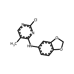 Cc1cnc(Cl)nc1Nc1ccc2c(c1)OCO2